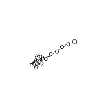 CC(=O)N[C@@H]1[C@H]2OC(C)(C)O[C@H]2[C@]2(COCCOCCOCCOCCOCc3ccccc3)CC[C@H]1O2